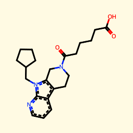 O=C(O)CCCCC(=O)N1CCc2c(n(CC3CCCC3)c3ncccc23)C1